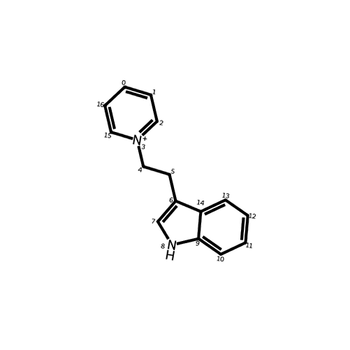 c1cc[n+](CCc2c[nH]c3ccccc23)cc1